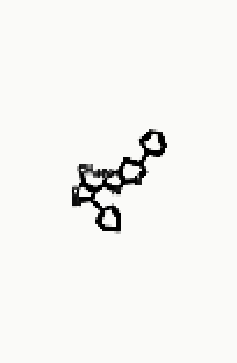 Cc1onc(-c2ccccc2)c1-c1nc2ncc(-c3ccccc3)cc2[nH]1